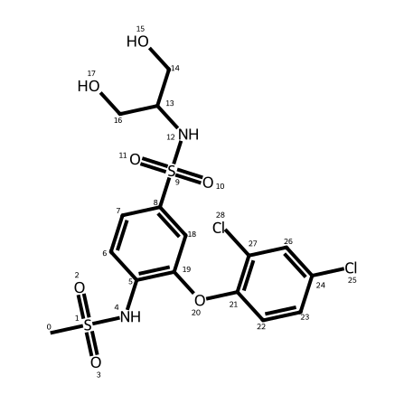 CS(=O)(=O)Nc1ccc(S(=O)(=O)NC(CO)CO)cc1Oc1ccc(Cl)cc1Cl